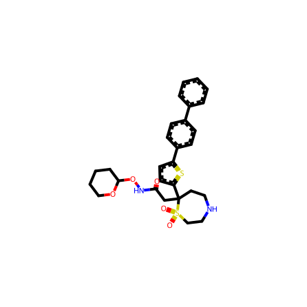 O=C(CC1(c2ccc(-c3ccc(-c4ccccc4)cc3)s2)CCNCCS1(=O)=O)NOC1CCCCO1